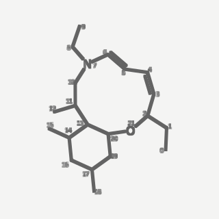 CCC1/C=C\C=C\N(CC)CC(C)C2C(C)CC(C)CC2O1